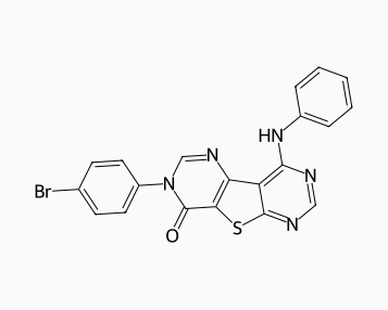 O=c1c2sc3ncnc(Nc4ccccc4)c3c2ncn1-c1ccc(Br)cc1